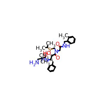 Cc1ccccc1CNC(=O)CN(CSC(C)C)C(=O)[C@@H](O)[C@H](Cc1ccccc1)NC(=O)C(C)(C)CN